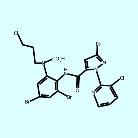 O=C(Nc1c(Br)cc(Br)cc1N(CCCCl)C(=O)O)c1cc(Br)nn1-c1ncccc1Cl